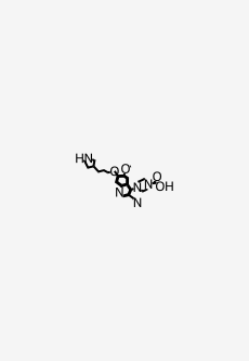 COc1cc2c(N3CCN(C(=O)O)CC3)c(C#N)cnc2cc1OCCCC1CCNC1